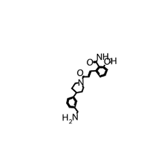 NCc1cccc(C2CCN(C(=O)C=Cc3cccc(O)c3C(N)=O)CC2)c1